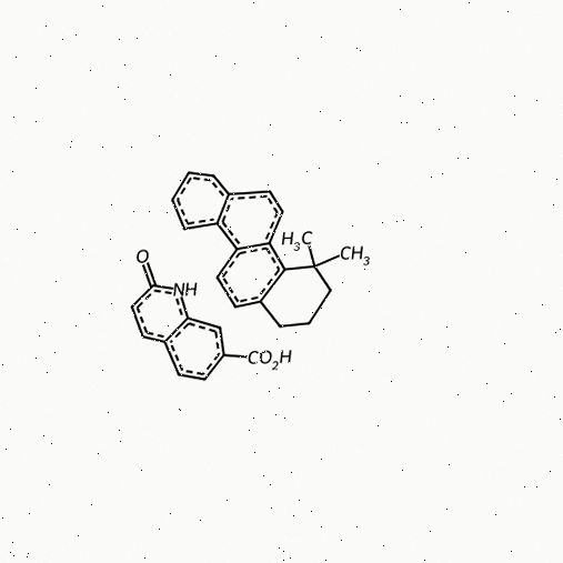 CC1(C)CCCc2ccc3c(ccc4ccccc43)c21.O=C(O)c1ccc2ccc(=O)[nH]c2c1